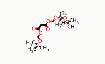 CC(C)(C)[Si](C)(OCOC(=O)CC(=O)OCO[Si](C)(C)C)O[Si](C)(C)C